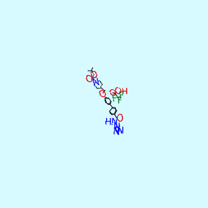 CC(C)OC(=O)N1CCC(COc2ccc(-c3ccc(C(=O)Nn4cnnc4)cc3)cc2)CC1.O=C(O)C(F)(F)F